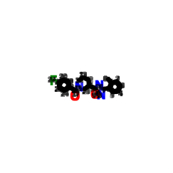 Cc1ccccc1-c1noc(C2CCCN(C(=O)c3ccc(F)cc3)C2)n1